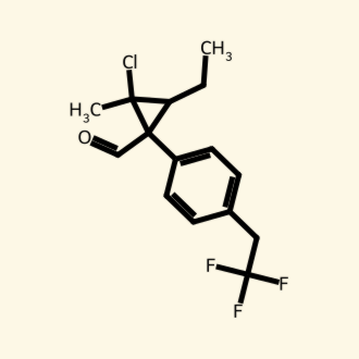 CCC1C(C)(Cl)C1(C=O)c1ccc(CC(F)(F)F)cc1